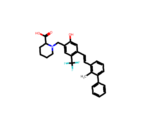 Cc1c(C=Cc2cc(O)c(CN3CCCCC3C(=O)O)cc2C(F)(F)F)cccc1-c1ccccc1